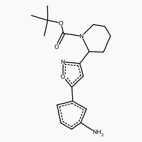 CC(C)(C)OC(=O)N1CCCCC1c1cc(-c2cccc(N)c2)on1